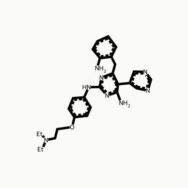 CCN(CC)CCOc1ccc(Nc2nc(N)c(-c3cncnc3)c(Cc3ccccc3N)n2)cc1